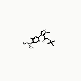 Cc1nc(-c2cnn(C)c2C(=O)OC(C)(C)C)ncc1B(O)O